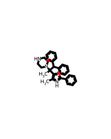 Cc1[nH]c(-c2ccccc2)nc1C(C)(C(c1ccccc1)c1ccccc1)N1CCNCC1